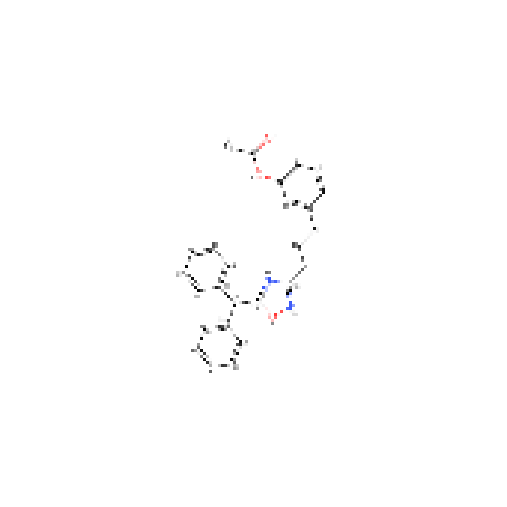 CCC(=O)Oc1cccc(CCCc2noc(C(c3ccccc3)c3ccccc3)n2)c1